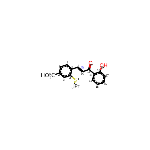 CC(C)Sc1cc(C(=O)O)ccc1/C=C/C(=O)c1ccccc1O